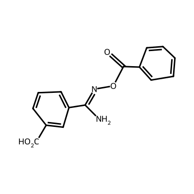 N/C(=N\OC(=O)c1ccccc1)c1cccc(C(=O)O)c1